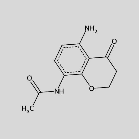 CC(=O)Nc1ccc(N)c2c1OCCC2=O